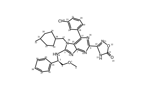 COC[C@H](Nc1nc2nc(-c3noc(=O)[nH]3)nc(-c3cccc(Cl)c3)c2n1CC1CCC(C)CC1)c1ccccc1